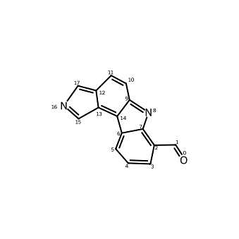 O=Cc1cccc2c1N=c1ccc3c(c1-2)C=NC=3